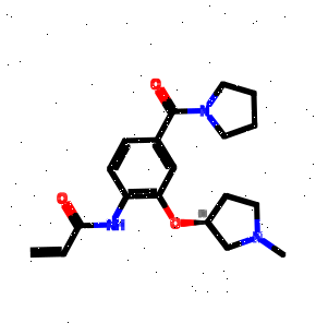 C=CC(=O)Nc1ccc(C(=O)N2CCCC2)cc1O[C@H]1CCN(C)C1